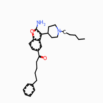 CCCCCN1CCC(c2c(N)oc3ccc(C(=O)CCCCc4ccccc4)cc23)CC1